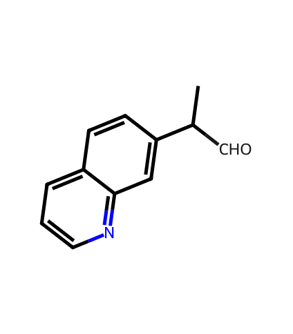 CC(C=O)c1ccc2cccnc2c1